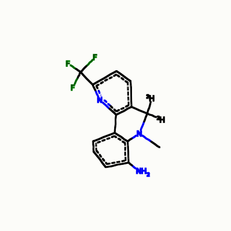 [2H]C1([2H])c2ccc(C(F)(F)F)nc2-c2cccc(N)c2N1C